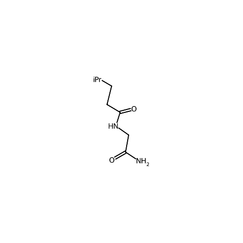 CC(C)CCC(=O)NCC(N)=O